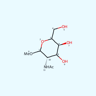 COC1OC(CO)[C@@H](O)C(O)[C@@H]1NC(C)=O